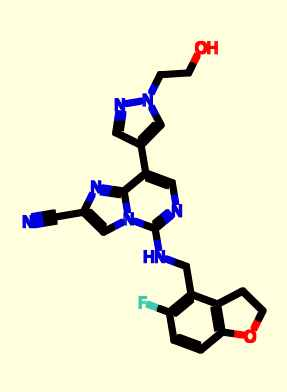 N#Cc1cn2c(NCc3c(F)ccc4c3CCO4)ncc(-c3cnn(CCO)c3)c2n1